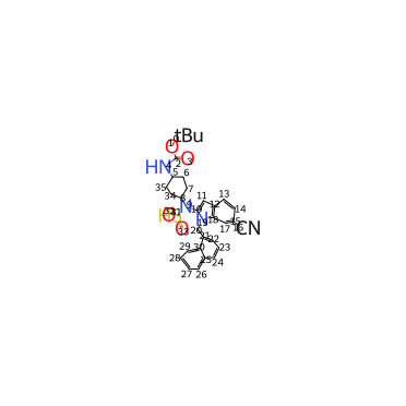 CC(C)(C)OC(=O)N[C@H]1CC[C@H](N(c2cc3ccc(C#N)cc3n2Cc2cccc3ccccc23)[SH](=O)=O)CC1